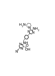 N#Cc1cnc(NCc2ccc(-c3cnc(N)c(N4CCC[C@@H](N)C4)n3)cc2)c(C(=O)O)n1